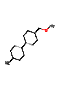 CCCOC[C@H]1CC[C@H]([C@H]2CC[C@H](C#N)CC2)CC1